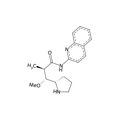 CO[C@@H]([C@@H]1CCCN1)[C@@H](C)C(=O)Nc1ccc2ccccc2n1